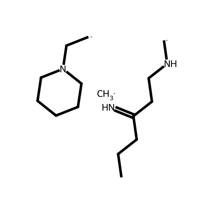 [CH2]CN1CCCCC1.[CH2]NCCC(=N)CCC.[CH3]